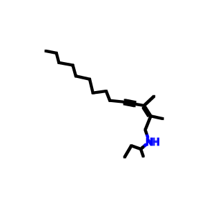 CCCCCCCCCC#C/C(C)=C(/C)CNC(C)CC